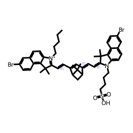 CCCCC[N+]1=C(/C=C/C2=CC(=C/C=C3/N(CCCCS(=O)(=O)O)c4ccc5cc(Br)ccc5c4C3(C)C)/C3CC2C3(C)C)C(C)(C)c2c1ccc1cc(Br)ccc21